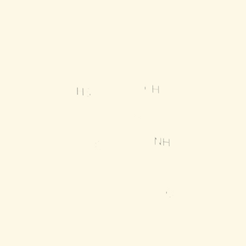 C=C(NC=O)C(C)S